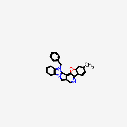 CC1C=CC2C3=NCC4CN5C6=C(CCCC6)N(Cc6ccccc6)C5C4=C3OC2C1